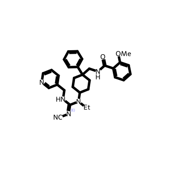 CCN(/C(=N/C#N)NCc1cccnc1)C1CCC(CNC(=O)c2ccccc2OC)(c2ccccc2)CC1